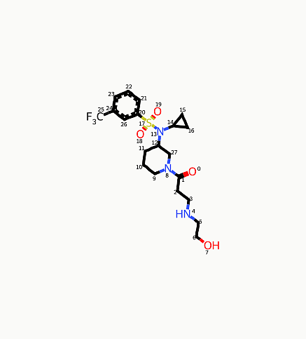 O=C(CCNCCO)N1CCCC(N(C2CC2)S(=O)(=O)c2cccc(C(F)(F)F)c2)C1